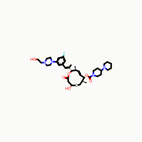 C/C(=C\c1cc(F)cc(N2CCN(CCO)CC2)c1)[C@H]1OC(=O)C[C@H](O)CC[C@H](C)[C@@H](OC(=O)N2CCC(N3CCCCC3)CC2)/C=C/[C@@H]1C